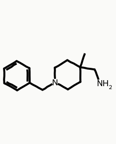 CC1(CN)CCN(Cc2ccccc2)CC1